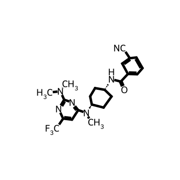 CN(C)c1nc(N(C)[C@H]2CC[C@@H](NC(=O)c3cccc(C#N)c3)CC2)cc(C(F)(F)F)n1